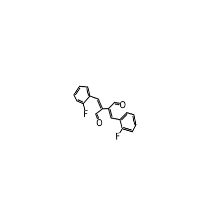 O=CC(=Cc1ccccc1F)C(C=O)=Cc1ccccc1F